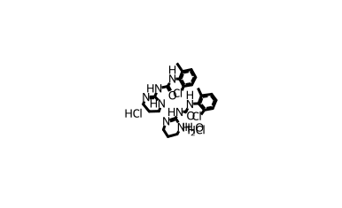 Cc1cccc(Cl)c1NC(=O)NC1=NCCCN1.Cc1cccc(Cl)c1NC(=O)NC1=NCCCN1.Cl.Cl.O